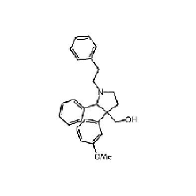 COc1cccc(C2(CO)CCN(CCc3ccccc3)C2c2ccccc2)c1